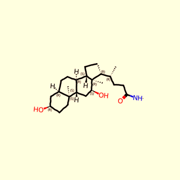 C[C@H](CCC([NH])=O)[C@H]1CC[C@H]2[C@@H]3CC[C@@H]4C[C@H](O)CC[C@]4(C)[C@H]3C[C@H](O)[C@]12C